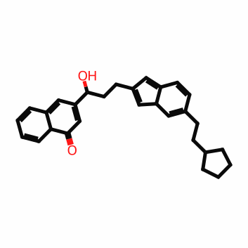 O=C1C=C(C(O)CCC2=CC3C=C(CCC4CCCC4)C=CC3=C2)C=C2C=CC=CC12